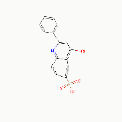 O=S(=O)(O)c1ccc2nc(-c3ccccc3)cc(O)c2c1